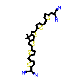 CC1(C)c2cc(-c3ccc(/C=C4\C=CC(C=C(C#N)C#N)S4)s3)sc2-c2sc(-c3ccc(/C=c4\ccc(=C(C#N)C#N)s4)s3)cc21